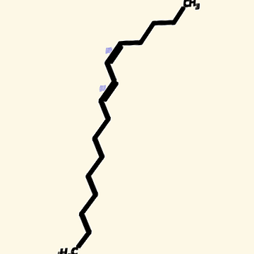 [CH2]CCCCCCC/C=C/C=C\CCCC